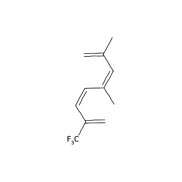 C=C(C)/C=C(C)\C=C/C(=C)C(F)(F)F